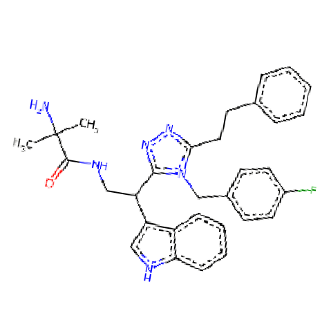 CC(C)(N)C(=O)NCC(c1c[nH]c2ccccc12)c1nnc(CCc2ccccc2)n1Cc1ccc(F)cc1